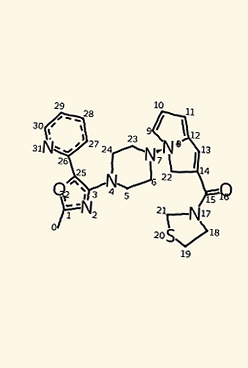 Cc1nc(N2CCN([N@@+]34C=CC=C3C=C(C(=O)N3CCSC3)C4)CC2)c(-c2ccccn2)o1